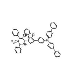 C=C1C(c2ccccc2)=C(C)C(c2ccc(-c3ccc(N(c4ccc(-c5ccccc5)cc4)c4ccc(-c5ccccc5)cc4)cc3)c3oc4ccccc4c23)NC1c1ccccc1